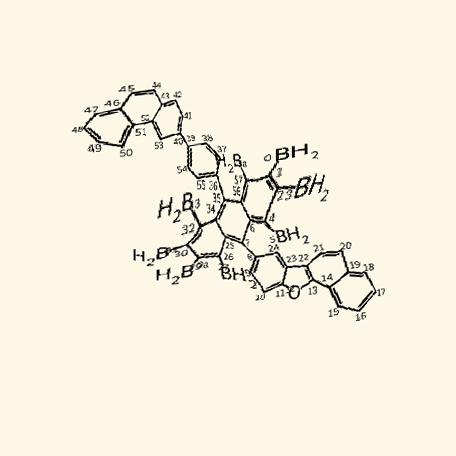 Bc1c(B)c(B)c2c(-c3ccc4oc5c6ccccc6ccc5c4c3)c3c(B)c(B)c(B)c(B)c3c(-c3ccc(-c4ccc5ccc6ccccc6c5c4)cc3)c2c1B